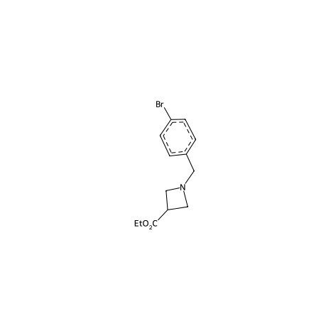 CCOC(=O)C1CN(Cc2ccc(Br)cc2)C1